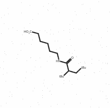 CC(C)(C)CC(C(=O)NCCCCCC(=O)O)C(C)(C)C